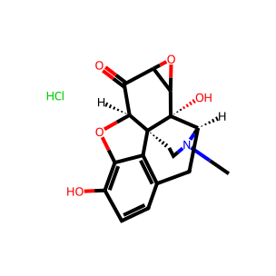 CN1CC[C@]23c4c5ccc(O)c4O[C@H]2C(=O)C2OC2[C@@]3(O)[C@H]1C5.Cl